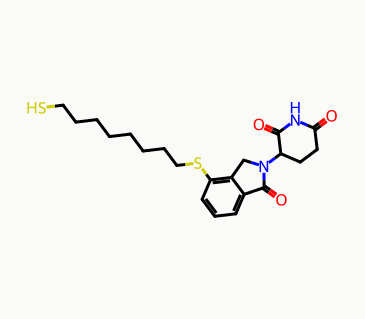 O=C1CCC(N2Cc3c(SCCCCCCCCS)cccc3C2=O)C(=O)N1